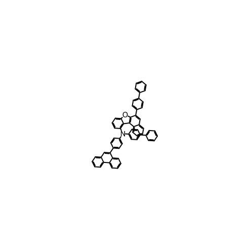 c1ccc(-c2ccc(-c3cc4ccccc4c4c3oc3cccc(N(c5ccc(-c6ccccc6)cc5)c5ccc(-c6cc7ccccc7c7ccccc67)cc5)c34)cc2)cc1